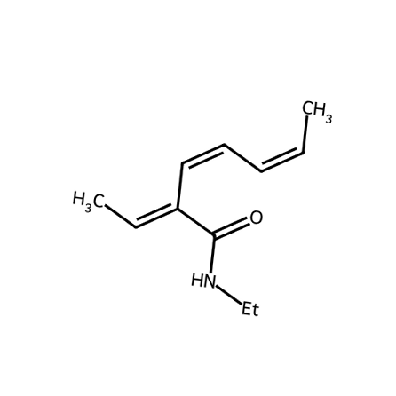 C\C=C/C=C\C(=C/C)C(=O)NCC